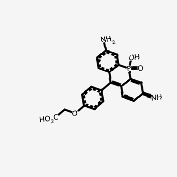 N=C1C=CC2=C(c3ccc(OCC(=O)O)cc3)c3ccc(N)cc3P(=O)(O)C2=C1